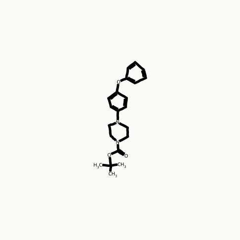 CC(C)(C)OC(=O)N1CCN(c2ccc(Oc3ccccc3)cc2)CC1